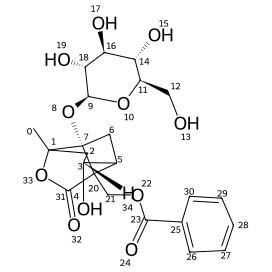 CC12C[C@@H](O)C3C[C@@]1(O[C@@H]1O[C@H](CO)[C@@H](O)[C@H](O)[C@H]1O)C3(COC(=O)c1ccccc1)C(=O)O2